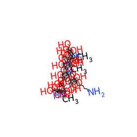 CC(=O)N[C@H]1[C@H](O[C@H]2[C@@H](O)[C@@H](CO)O[C@@H](OCCCCCN)[C@@H]2O)O[C@H](CO[C@]2(C(=O)O)C[C@H](O)[C@@H](NC(C)=O)[C@H]([C@H](O)[C@H](O)CO)O2)[C@@H](O)[C@@H]1O[C@@H]1O[C@H](CO)[C@H](O)[C@H](O[C@]2(C(=O)O)C[C@@H](O)[C@@H](NC(C)=O)[C@@H]([C@@H](O)[C@@H](O)CO)O2)[C@H]1O